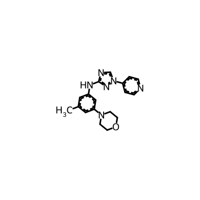 Cc1cc(Nc2ncn(-c3ccncc3)n2)cc(N2CCOCC2)c1